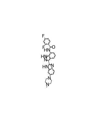 CN1CCN(c2ccc3nc(-c4n[nH]c5c(NC(=O)c6ccc(F)cc6F)cccc45)[nH]c3c2)CC1